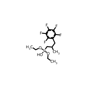 CCO[Si](O)(CC(C)Cc1c(F)c(F)c(F)c(F)c1F)OCC